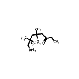 BCC(C)(C)CC(C)(C)CC(=O)CC